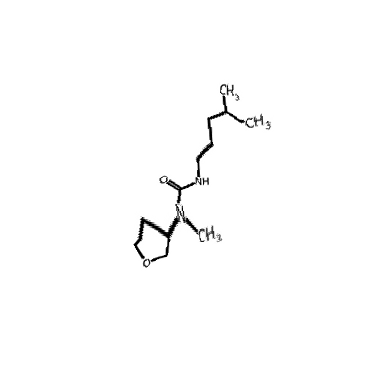 CC(C)CCCNC(=O)N(C)C1CCOC1